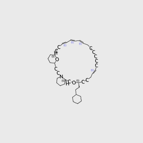 C1=C/C=C/CC[C@@H]2CCCC(CCN3CCCC[C@H]3CO[C@H](CCC3CCCCC3)CCC/C=C/CCCCCC/C=C/1)O2